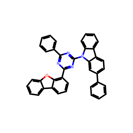 c1ccc(-c2ccc3c4ccccc4n(-c4nc(-c5ccccc5)nc(-c5cccc6c5oc5ccccc56)n4)c3c2)cc1